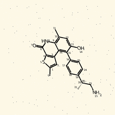 Cc1cc2c(s1)c(=O)[nH]c1c(C)cc(O)c(-c3ccc([C@@H](C)CN)cc3)c12